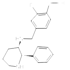 COc1ccc(CN[C@@H]2CCCN[C@@H]2c2ccccc2)cc1F